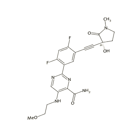 COCCNc1cnc(-c2cc(C#C[C@]3(O)CCN(C)C3=O)c(F)cc2F)nc1C(N)=O